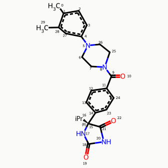 Cc1ccc(N2CCN(C(=O)c3ccc([C@@]4(C(C)C)NC(=O)NC4=O)cc3)CC2)cc1C